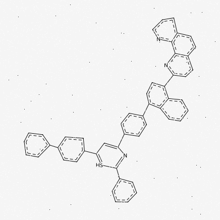 C1=C(c2ccc(-c3ccc(-c4ccc5ccc6cccnc6c5n4)c4ccccc34)cc2)N=C(c2ccccc2)[SH]=C1c1ccc(-c2ccccc2)cc1